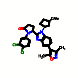 CO[C@@H]1CC[C@@H](n2c(C3CCC(=O)N3c3ccc(Cl)c(Cl)c3)nc3cc(-c4c(C)noc4C)ccc32)C1